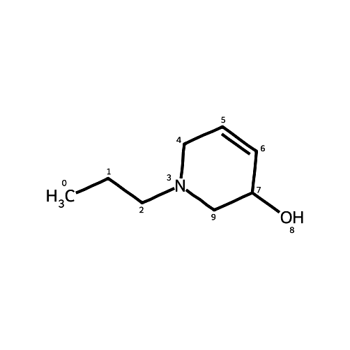 CCCN1CC=CC(O)C1